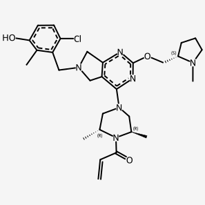 C=CC(=O)N1[C@H](C)CN(c2nc(OC[C@@H]3CCCN3C)nc3c2CN(Cc2c(Cl)ccc(O)c2C)C3)C[C@H]1C